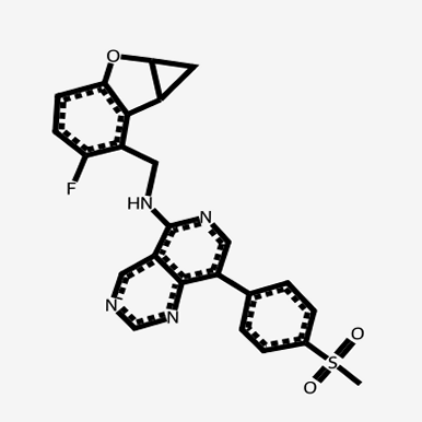 CS(=O)(=O)c1ccc(-c2cnc(NCc3c(F)ccc4c3C3CC3O4)c3cncnc23)cc1